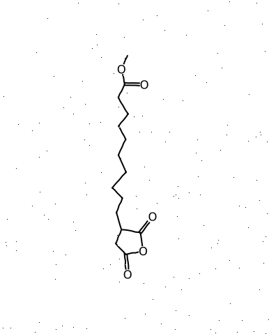 COC(=O)CCCCCCCCCC1CC(=O)OC1=O